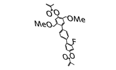 C=C(C)C(=O)Oc1ccc(-c2ccc(-c3cc(COC)c(OC(=O)C(=C)C)cc3COC)cc2)c(F)c1